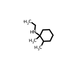 [CH2]CNC1(C)CCCCC1C